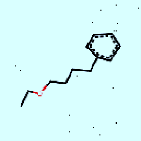 CCO[CH]CCCc1ccccc1